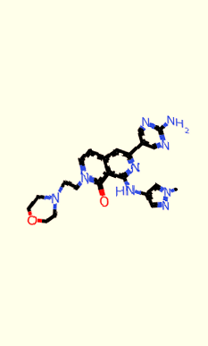 Cn1cc(Nc2nc(-c3cnc(N)nc3)cc3ccn(CCN4CCOCC4)c(=O)c23)cn1